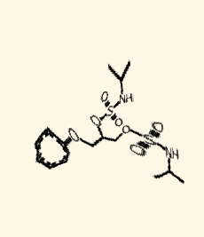 CC(C)NS(=O)(=O)OCC(COc1ccccc1)OS(=O)(=O)NC(C)C